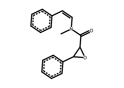 CN(/C=C\c1ccccc1)C(=O)C1OC1c1ccccc1